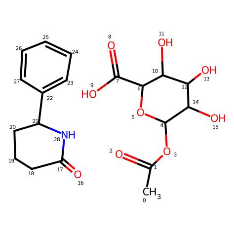 CC(=O)OC1OC(C(=O)O)C(O)C(O)C1O.O=C1CCCC(c2ccccc2)N1